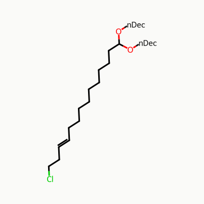 CCCCCCCCCCOC(CCCCCCCCC/C=C/CCCl)OCCCCCCCCCC